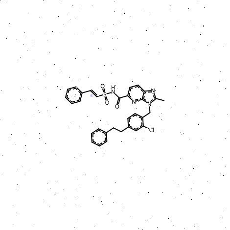 Cc1nc2ccc(C(=O)NS(=O)(=O)/C=C/c3ccccc3)nc2n1Cc1ccc(CCc2ccccc2)cc1Cl